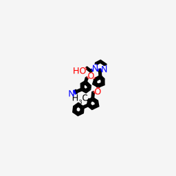 Cc1c(COc2ccc(C3=NCCCN3CCO)c(OCc3cccc(C#N)c3)c2)cccc1-c1ccccc1